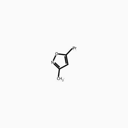 [CH2]c1cc(C(C)C)on1